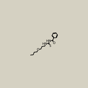 CCCCOCCCNC(=S)NC(=O)c1ccccc1